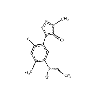 Cc1cc(F)c(-n2nnn(C)c2=O)cc1[S+]([O-])CC(F)(F)F